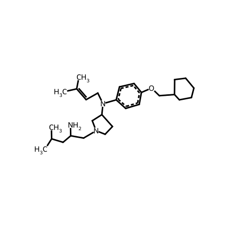 CC(C)=CCN(c1ccc(OCC2CCCCC2)cc1)C1CCN(CC(N)CC(C)C)C1